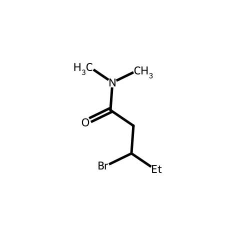 CCC(Br)CC(=O)N(C)C